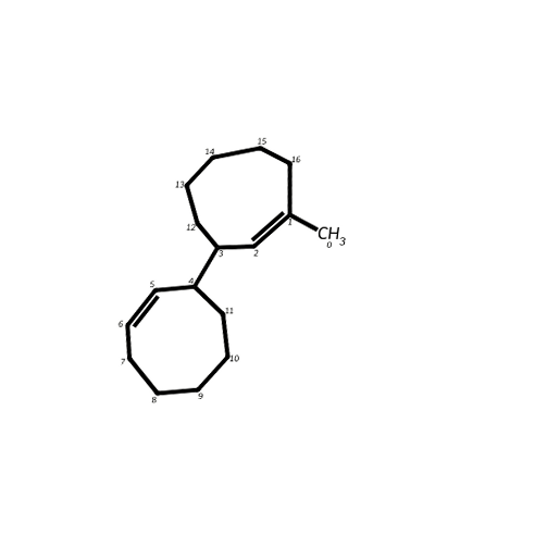 C/C1=C/C(C2/C=C\CCCCC2)CCCCC1